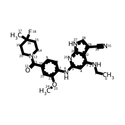 CCNc1cc(Nc2ccc(C(=O)N3CCC(C)(F)CC3)cc2OC)nc2[nH]cc(C#N)c12